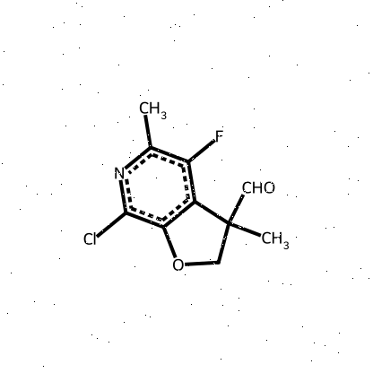 Cc1nc(Cl)c2c(c1F)C(C)(C=O)CO2